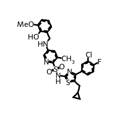 COc1cccc(CNc2cnc(S(=O)(=O)Nc3nc(-c4ccc(F)c(Cl)c4)c(CC4CC4)s3)c(C)c2)c1O